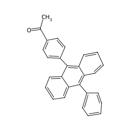 CC(=O)c1ccc(-c2c3ccccc3c(-c3ccccc3)c3ccccc23)cc1